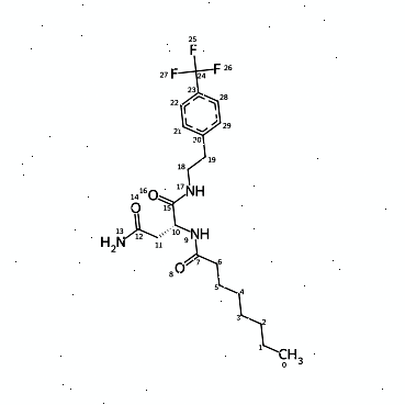 CCCCCCCC(=O)N[C@H](CC(N)=O)C(=O)NCCc1ccc(C(F)(F)F)cc1